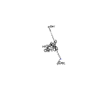 CCCCCCCCCCCCCC=CCCCCCCCCC(=O)OC[C@H](COP(=O)(O)OC[C@@H](O)[C@H](O)CO)OC(=O)CCCCCCCC/C=C\CCCCCCCCCCCCC